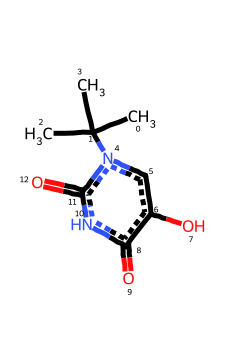 CC(C)(C)n1cc(O)c(=O)[nH]c1=O